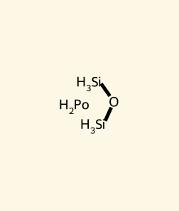 [PoH2].[SiH3]O[SiH3]